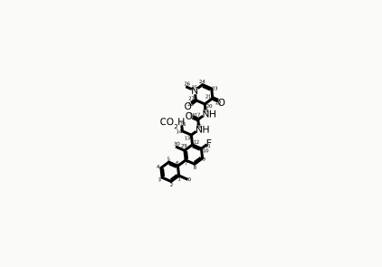 Cc1ccccc1-c1ccc(F)c(C(CC(=O)O)NC(=O)NC2C(=O)C=CN(C)C2=O)c1C